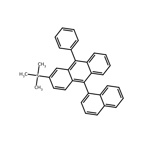 CS(C)(C)c1ccc2c(-c3cccc4ccccc34)c3ccccc3c(-c3ccccc3)c2c1